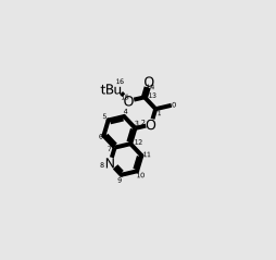 CC(Oc1cccc2ncccc12)C(=O)OC(C)(C)C